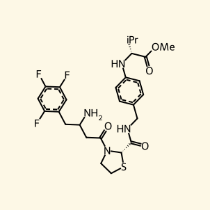 COC(=O)[C@H](Nc1ccc(CNC(=O)[C@@H]2SCCN2C(=O)CC(N)Cc2cc(F)c(F)cc2F)cc1)C(C)C